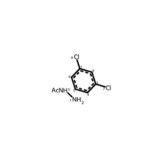 CC(=O)NN.Clc1cccc(Cl)c1